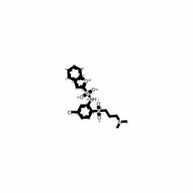 CN(C)CCCS(=O)(=O)c1ccc(Cl)cc1NS(=O)(=O)c1cc2ccccc2o1